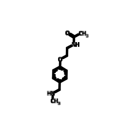 CNCc1ccc(OCCNC(C)=O)cc1